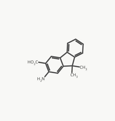 CC1(C)c2ccccc2-c2cc(C(=O)O)c(N)cc21